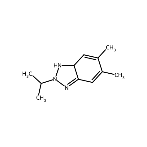 CC1=CC2=NN(C(C)C)NC2C=C1C